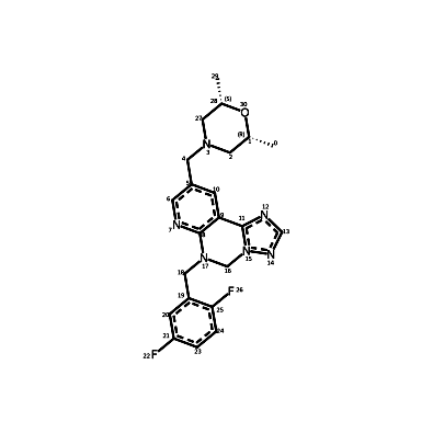 C[C@@H]1CN(Cc2cnc3c(c2)-c2ncnn2CN3Cc2cc(F)ccc2F)C[C@H](C)O1